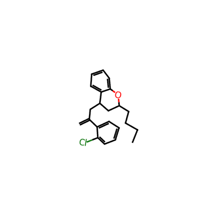 C=C(CC1CC(CCCC)Oc2ccccc21)c1ccccc1Cl